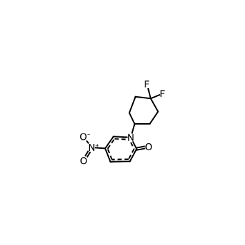 O=c1ccc([N+](=O)[O-])cn1C1CCC(F)(F)CC1